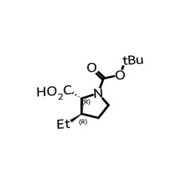 CC[C@@H]1CCN(C(=O)OC(C)(C)C)[C@H]1C(=O)O